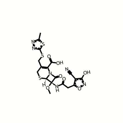 CO[C@@]1(NC(=O)Cc2onc(O)c2C#N)C(=O)N2C(C(=O)O)=C(CSc3nnc(C)s3)CS[C@@H]21